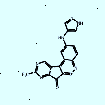 O=C1c2cnc3ccc(Nc4cn[nH]c4)cc3c2-c2cnc(C(F)(F)F)nc21